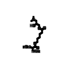 CCCCCCCCC(CCCCCC)C(=O)OCCCCCC(=O)OCC(O)CN(C)C